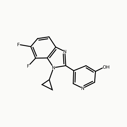 Oc1cncc(-c2nc3ccc(F)c(F)c3n2C2CC2)c1